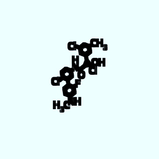 CNc1ccc(-c2cc(NC(=O)C3C(c4cc(C)cc(Cl)c4)C3(O)Cl)ccc2Cl)c(F)c1